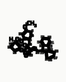 COc1ccc(CC(Oc2ccccc2)(C(=O)O)N(C=O)OCC2c3ccccc3-c3ccccc32)c(OC)c1